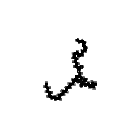 CC/C=C\C/C=C\C/C=C\C/C=C\CCCCC(=O)OC[C@H](COP(=O)([O-])OCC[N+](C)(C)C)OC(=O)CCCCCCCCC/C=C\C/C=C\CCCCC